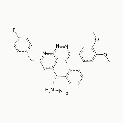 COc1ccc(-c2nnc3nc(Cc4ccc(F)cc4)nc([C@@H](C)c4ccccc4)c3n2)cc1OC.NN